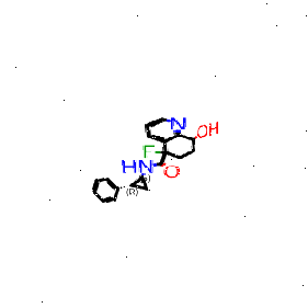 O=C(N[C@H]1C[C@@H]1c1ccccc1)C1(F)CCC(O)c2ncccc21